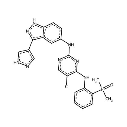 CP(C)(=O)c1ccccc1Nc1nc(Nc2ccc3[nH]nc(-c4cn[nH]c4)c3c2)ncc1Cl